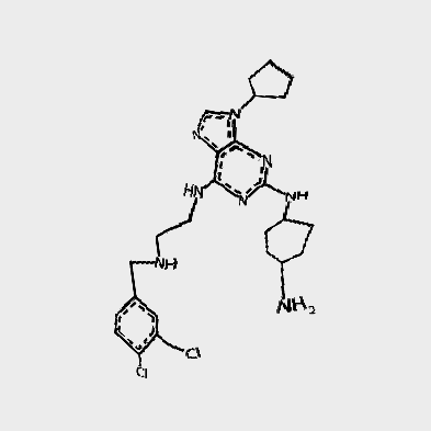 NC1CCC(Nc2nc(NCCNCc3ccc(Cl)c(Cl)c3)c3ncn(C4CCCC4)c3n2)CC1